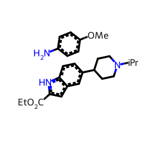 CCOC(=O)c1cc2cc(C3CCN(C(C)C)CC3)ccc2[nH]1.COc1ccc(N)cc1